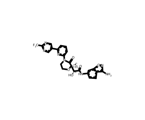 C[C@]1([C@@H](O)C(=O)Nc2ccc3c(N)noc3c2)OCCN(c2cccc(-c3cnc(C(F)(F)F)nc3)n2)C1=O